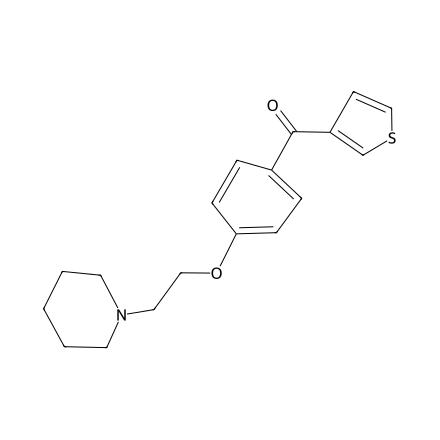 O=C(c1ccc(OCCN2CCCCC2)cc1)c1ccsc1